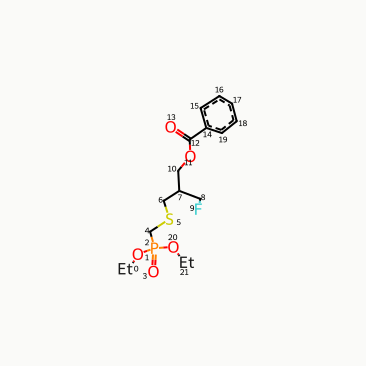 CCOP(=O)(CSCC(CF)COC(=O)c1ccccc1)OCC